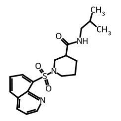 CC(C)CNC(=O)C1CCCN(S(=O)(=O)c2cccc3cccnc23)C1